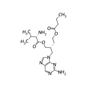 CCCC(=O)OCC[C@@H](COC(=O)[C@@H](N)C(C)C)Cn1cnc2cnc(N)nc21